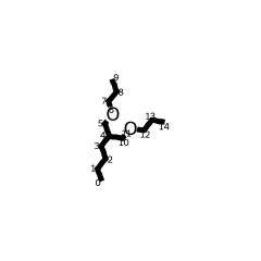 CCCCC(COCCC)COCCC